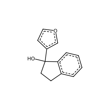 OC1(c2ccoc2)CCc2ccccc21